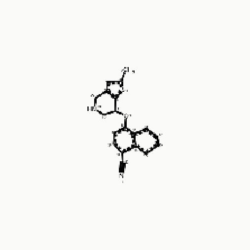 Cc1cc2c(s1)C(Oc1ccc(C#N)c3ccccc13)CNC2